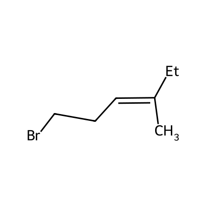 CC/C(C)=C/CCBr